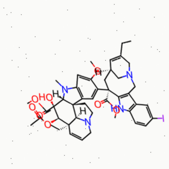 CCC1=C[C@H]2CN(C1)Cc1c([nH]c3ccc(I)cc13)[C@@](C(=O)OC)(c1cc3c(cc1OC)N(C)[C@H]1[C@@](O)(C(=O)OC)[C@H](OC(C)=O)[C@]4(CC)C=CCN5CC[C@]31[C@@H]54)C2